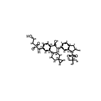 CC1Cc2ccc(NC(=O)c3ccc(NS(=O)(=O)CCO)cc3N3CCC4(CC3)CC4)cc2N1S(=O)(=O)C(C)(C)C